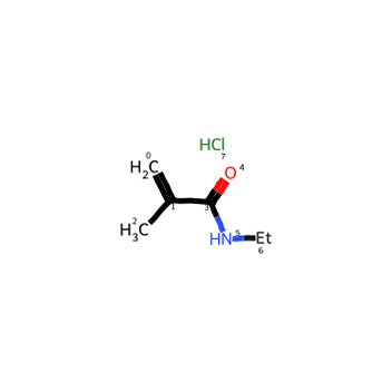 C=C(C)C(=O)NCC.Cl